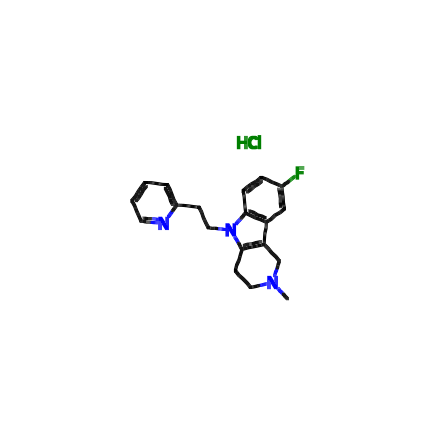 CN1CCc2c(c3cc(F)ccc3n2CCc2ccccn2)C1.Cl